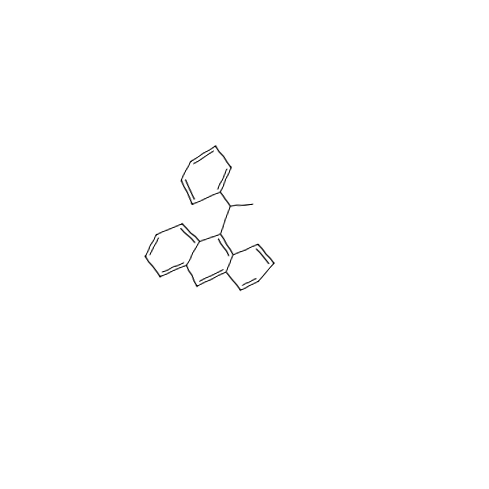 CC(c1ccccc1)c1c2ccccc2cc2ccccc12